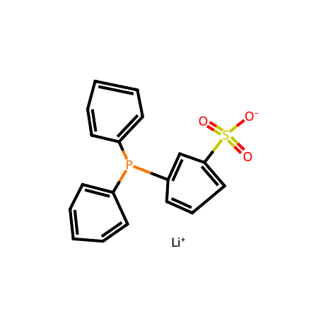 O=S(=O)([O-])c1cccc(P(c2ccccc2)c2ccccc2)c1.[Li+]